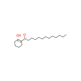 CCCCCCCCCCCC[S+]([O-])[C@H]1CCCC[C@@H]1O